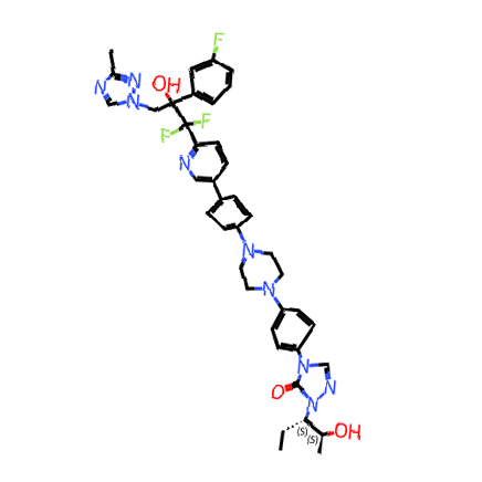 CC[C@@H]([C@H](C)O)n1ncn(-c2ccc(N3CCN(c4ccc(-c5ccc(C(F)(F)C(O)(Cn6cnc(C)n6)c6cccc(F)c6)nc5)cc4)CC3)cc2)c1=O